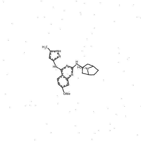 COc1ccc2c(Nc3cc(C)[nH]n3)nc(NC3CC4CCC(C3)N4C(=O)O)nc2c1